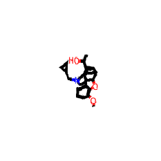 COc1cccc2c1OC1C3C=CC4(CN(CC5CC5)CCC214)C(C(C)O)C3